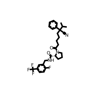 CC(C)C(C#N)(CCCCC(=O)N1CCC[C@@H]1C(=O)NCc1cc(C(F)(F)F)ccc1F)c1ccccc1